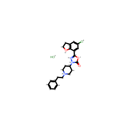 Cl.O=c1oc(-c2cc(Cl)cc3c2OCC3)nn1C1CCN(CCc2ccccc2)CC1